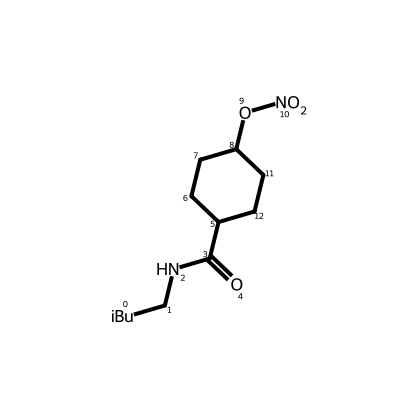 CCC(C)CNC(=O)C1CCC(O[N+](=O)[O-])CC1